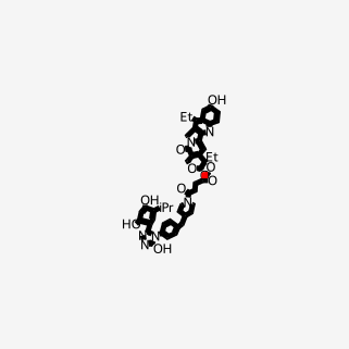 CCc1c2c(nc3ccc(O)cc13)-c1cc3c(c(=O)n1C2)COC(=O)[C@]3(CC)OC1OC1CCC(=O)N1CCC(Cc2ccc(-n3c(O)nnc3-c3cc(C(C)C)c(O)cc3O)cc2)CC1